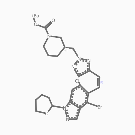 CC(C)(C)OC(=O)N1CCC[C@H](Cn2ncc(/C=C\c3c(Cl)cc4c(cnn4C4CCCCO4)c3Br)n2)C1